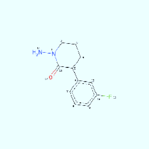 NN1CCCC(c2cccc(F)c2)C1=O